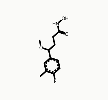 COC(CCC(=O)NO)c1ccc(F)c(C)c1